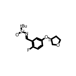 CC(C)(C)[S+]([O-])N=Cc1cc(O[C@H]2CCOC2)ccc1F